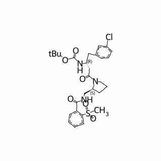 CC(C)(C)OC(=O)N[C@@H](CC(=O)N1CCC[C@H]1CNC(=O)c1ccccc1S(C)(=O)=O)Cc1cccc(Cl)c1